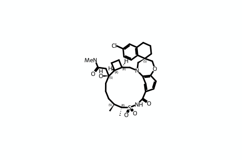 CNC(=O)C[C@@]1(O)CCC[C@H](C)[C@@H](C)S(=O)(=O)NC(=O)c2ccc3c(c2)N(C[C@@H]2CC[C@H]21)C[C@@]1(CCCc2cc(Cl)ccc21)CO3